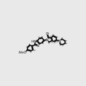 COc1ccc(-c2nc3cc(N4Cc5cc(N6CCCCC6)ccc5C4=O)ccc3[nH]2)cc1